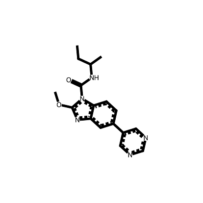 CCC(C)NC(=O)n1c(OC)nc2cc(-c3cncnc3)ccc21